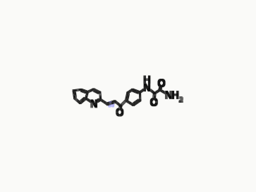 NC(=O)C(=O)Nc1ccc(C(=O)/C=C/c2ccc3ccccc3n2)cc1